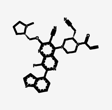 C=CC(=O)N1CCN(c2c(C#N)c(OC[C@@H]3CCCN3C)nc3c(F)c(-c4cccc5sccc45)ncc23)C[C@@H]1CC#N